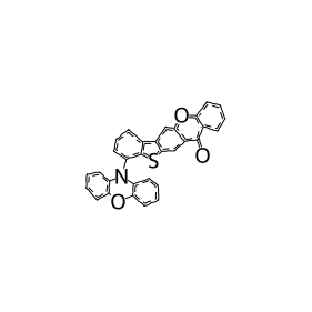 O=c1c2ccccc2oc2cc3c(cc12)sc1c(N2c4ccccc4Oc4ccccc42)cccc13